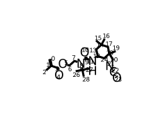 C=C(C)C(=O)OCCN(C(=O)NC1CC(C)(C)CC(C)(CN=C=O)C1)C(C)(C)C